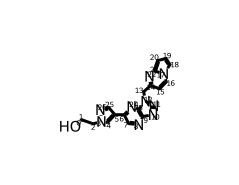 OCCn1cc(-c2cnc3nnn(Cc4ccn5cccc5n4)c3n2)cn1